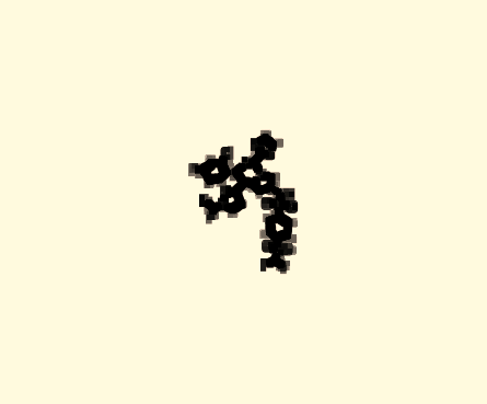 O=S(=O)(N[C@H]1CC2=C(c3ccn(C(F)F)n3)[C@H](c3ccc(F)cc3Cl)N=C(c3nccs3)N2C1)c1ccc(S(=O)(=O)C(F)F)cc1